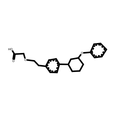 O=C(O)COCCc1ccc(C2CCCC(Oc3ccccc3)C2)cc1